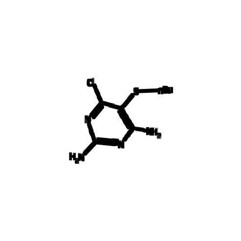 CCCCSc1c(N)nc(N)nc1Cl